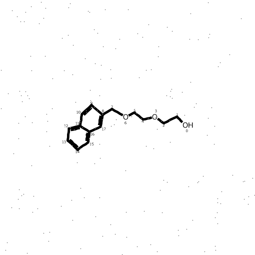 OCCOCCOCc1ccc2ccccc2c1